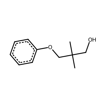 CC(C)(CO)COc1ccccc1